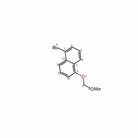 CCC(C)c1cccc2c(OCOC)cccc12